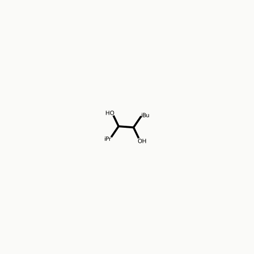 CCC(C)C(O)C(O)C(C)C